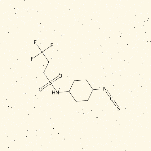 O=S(=O)(CCC(F)(F)F)NC1CCC(N=C=S)CC1